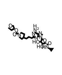 Nc1nc(CCCC2CCN(C(=O)OC3CCOC3)CC2)nc2c1ncn2[C@@H]1O[C@H](C(=O)NC2CC2)[C@H](O)C1O